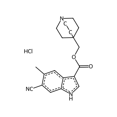 Cc1cc2c(C(=O)OCC34CCN(CC3)CC4)c[nH]c2cc1C#N.Cl